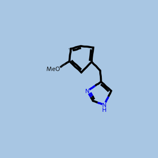 COc1[c]ccc(Cc2c[nH]cn2)c1